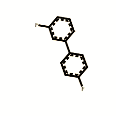 Fc1ccc(-c2[c]ccc(F)c2)cc1